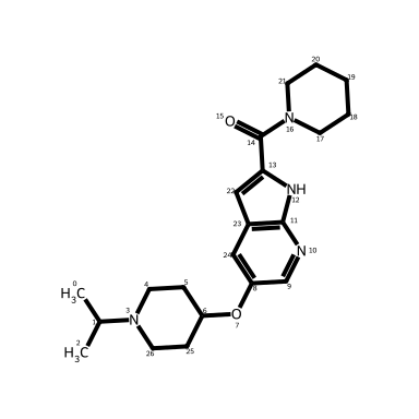 CC(C)N1CCC(Oc2cnc3[nH]c(C(=O)N4CCCCC4)cc3c2)CC1